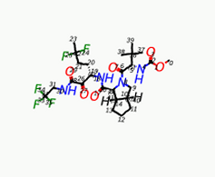 COC(=O)N[C@H](C(=O)N1C[C@@H]2CCC[C@@H]2[C@H]1C(=O)N[C@@H](CCC(C)(F)F)C(=O)C(=O)NCC(F)(F)F)C(C)(C)C